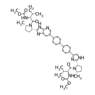 COC(=O)N[C@H](C(=O)N1[C@@H](C)CC[C@H]1c1nc(-c2ccc(-c3ccc(-c4cnc5[nH]c([C@@H]6CC[C@H](C)N6C(=O)[C@@H](NC(=O)OC)C(C)C)nc5c4)cc3)cc2)c[nH]1)C(C)C